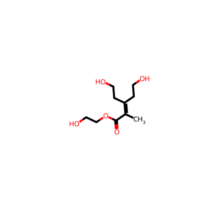 CC(C(=O)OCCO)=C(CCO)CCO